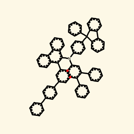 c1ccc(-c2ccc(-c3cccc(-c4c(N(c5ccc(C6(c7ccccc7)c7ccccc7-c7ccccc76)cc5)c5ccc(-c6ccccc6)c(-c6ccccc6)c5)c5ccccc5c5ccccc45)c3)cc2)cc1